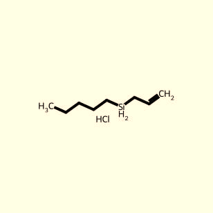 C=CC[SiH2]CCCCC.Cl